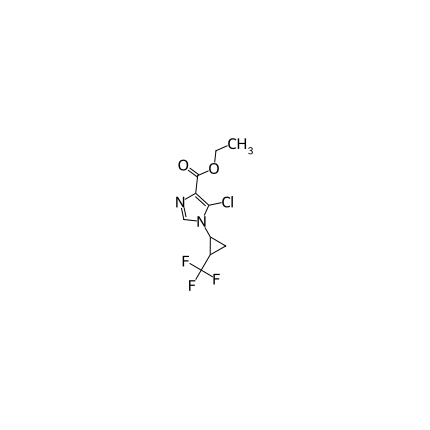 CCOC(=O)c1ncn(C2CC2C(F)(F)F)c1Cl